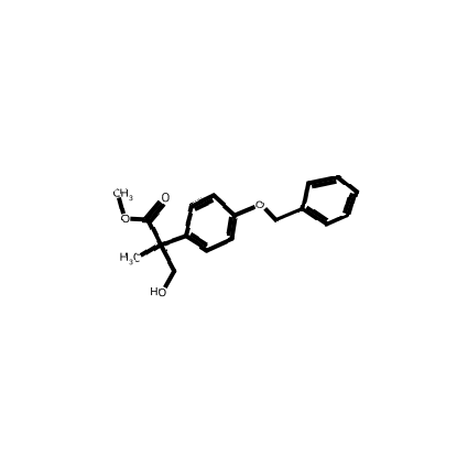 COC(=O)C(C)(CO)c1ccc(OCc2ccccc2)cc1